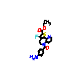 CCOC(=O)c1sc2c(c1F)CCN(C(=O)c1ccc(N)cc1)c1cccnc1-2